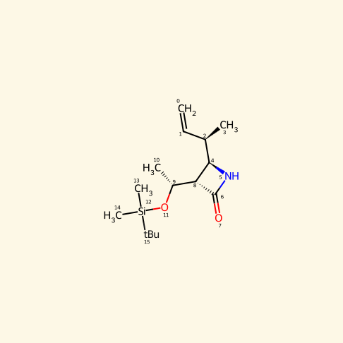 C=C[C@@H](C)[C@H]1NC(=O)[C@@H]1[C@@H](C)O[Si](C)(C)C(C)(C)C